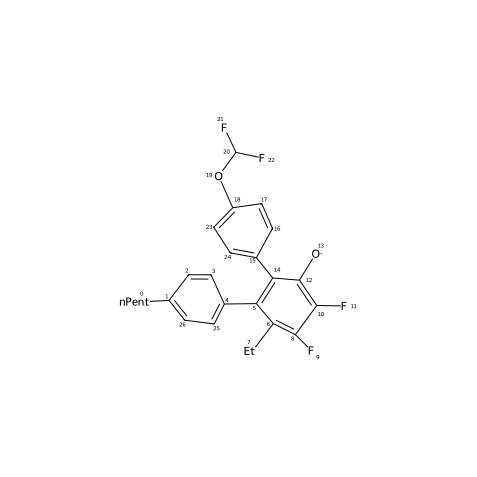 CCCCCc1ccc(-c2c(CC)c(F)c(F)c([O])c2-c2ccc(OC(F)F)cc2)cc1